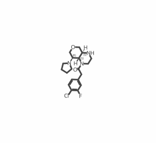 O=C(Cc1ccc(Cl)c(F)c1)N1CCN[C@@H]2COC[C@H](N3CCCC3)[C@H]21